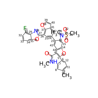 CNC(=O)c1c(-c2ccc(C)cc2)oc2cc(N(C)S(C)(=O)=O)c(-c3cc(-c4nc5c(F)cccc5o4)c4occc4c3)cc12